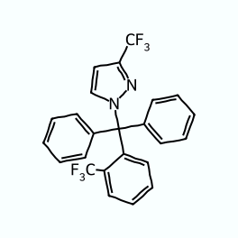 FC(F)(F)c1ccn(C(c2ccccc2)(c2ccccc2)c2ccccc2C(F)(F)F)n1